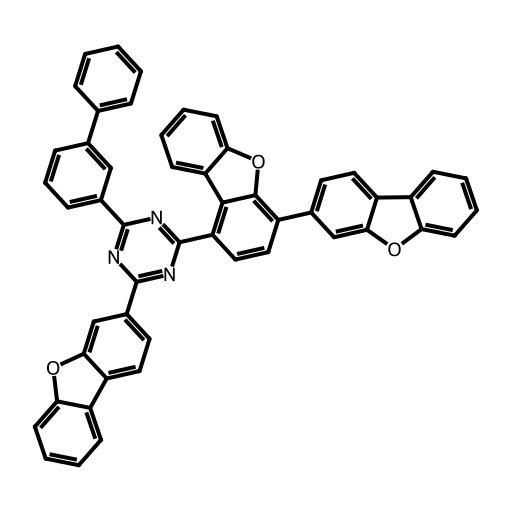 c1ccc(-c2cccc(-c3nc(-c4ccc5c(c4)oc4ccccc45)nc(-c4ccc(-c5ccc6c(c5)oc5ccccc56)c5oc6ccccc6c45)n3)c2)cc1